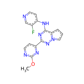 COc1nccc(-c2nc(Nc3ccncc3F)c3cccn3n2)n1